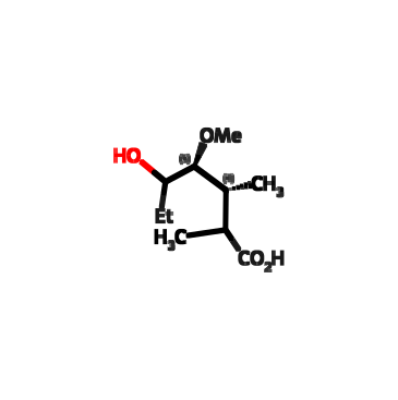 CCC(O)[C@@H](OC)[C@H](C)C(C)C(=O)O